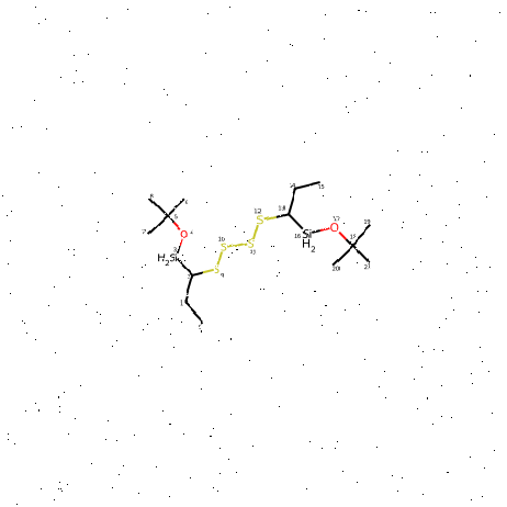 CCC([SiH2]OC(C)(C)C)SSSSC(CC)[SiH2]OC(C)(C)C